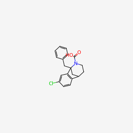 O=C(O)N1CCC2CC1(Cc1ccccc1)c1cc(Cl)ccc12